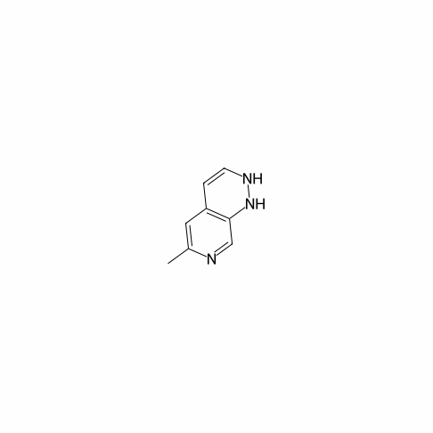 Cc1cc2c(cn1)NNC=C2